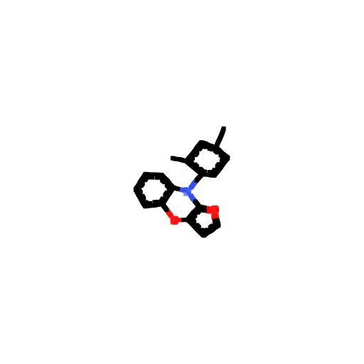 Cc1ccc(N2c3ccccc3Oc3ccoc32)c(C)c1